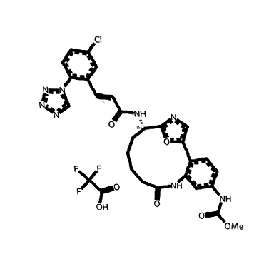 COC(=O)Nc1ccc2c(c1)NC(=O)CCCC[C@H](NC(=O)/C=C/c1cc(Cl)ccc1-n1cnnn1)c1ncc-2o1.O=C(O)C(F)(F)F